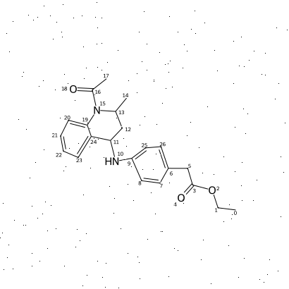 CCOC(=O)Cc1ccc(NC2CC(C)N(C(C)=O)c3ccccc32)cc1